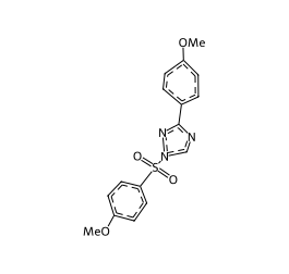 COc1ccc(-c2ncn(S(=O)(=O)c3ccc(OC)cc3)n2)cc1